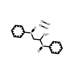 CC(=O)[O-].CC(=O)[O-].O=S(C[CH]([Pd+2])S(=O)c1ccccc1)c1ccccc1